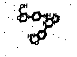 OC[C@H]1CN(c2ccc(Nc3nc(-c4ccc5c(c4)NCCO5)cn4ccnc34)cc2)CCO1